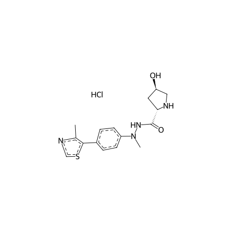 Cc1ncsc1-c1ccc(N(C)NC(=O)[C@@H]2C[C@@H](O)CN2)cc1.Cl